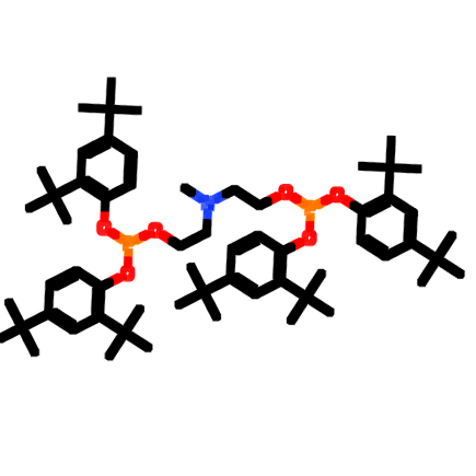 CN(CCOP(Oc1ccc(C(C)(C)C)cc1C(C)(C)C)Oc1ccc(C(C)(C)C)cc1C(C)(C)C)CCOP(Oc1ccc(C(C)(C)C)cc1C(C)(C)C)Oc1ccc(C(C)(C)C)cc1C(C)(C)C